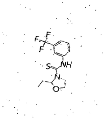 CCC1OCCN1C(=S)Nc1cccc(C(F)(F)F)c1